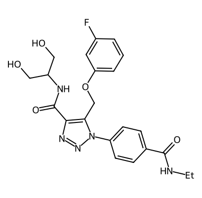 CCNC(=O)c1ccc(-n2nnc(C(=O)NC(CO)CO)c2COc2cccc(F)c2)cc1